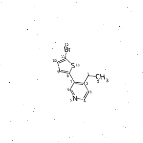 CCc1ccncc1-c1ccc(Br)s1